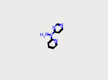 NN(c1ccccn1)c1ccncn1